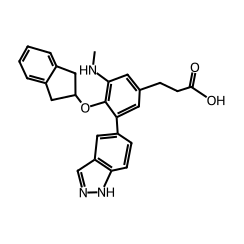 CNc1cc(CCC(=O)O)cc(-c2ccc3[nH]ncc3c2)c1OC1Cc2ccccc2C1